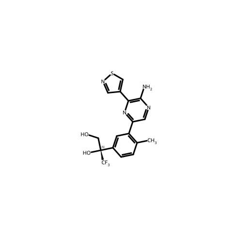 Cc1ccc([C@](O)(CO)C(F)(F)F)cc1-c1cnc(N)c(-c2cnsc2)n1